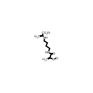 C=C(NCCCCNC(=O)C(=C)OCC)C(=O)OCC